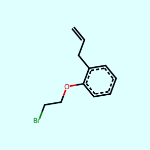 C=CCc1ccccc1OCCBr